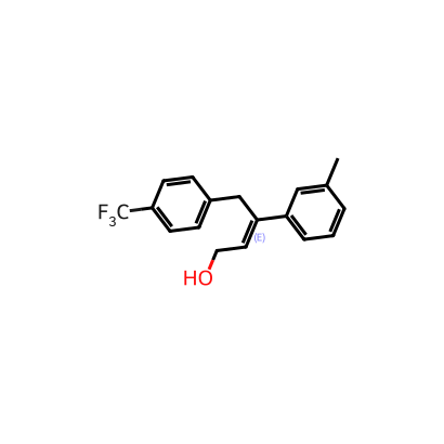 Cc1cccc(/C(=C/CO)Cc2ccc(C(F)(F)F)cc2)c1